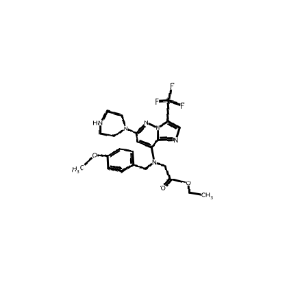 CCOC(=O)CN(Cc1ccc(OC)cc1)c1cc(N2CCNCC2)nn2c(C(F)(F)F)cnc12